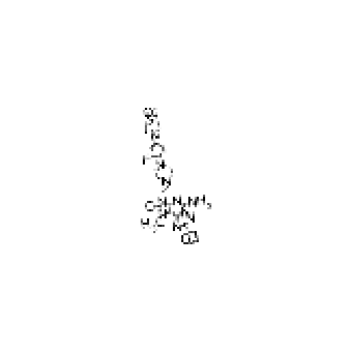 Cn1c(=O)n(CCN2CCN(c3ccc(N4CC[S+]([O-])CC4)cc3F)CC2)c2nc(N)n3nc(-c4ccco4)nc3c21